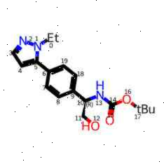 CCn1nccc1-c1ccc([C@H](CO)NC(=O)OC(C)(C)C)cc1